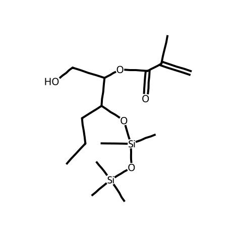 C=C(C)C(=O)OC(CO)C(CCC)O[Si](C)(C)O[Si](C)(C)C